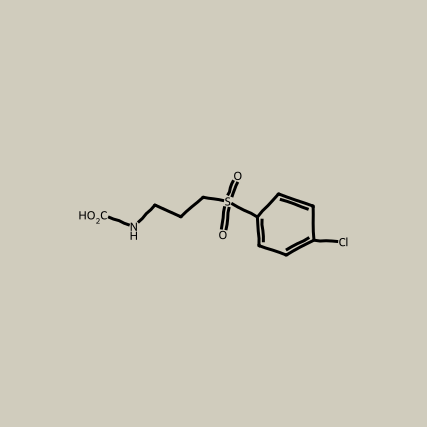 O=C(O)NCCCS(=O)(=O)c1ccc(Cl)cc1